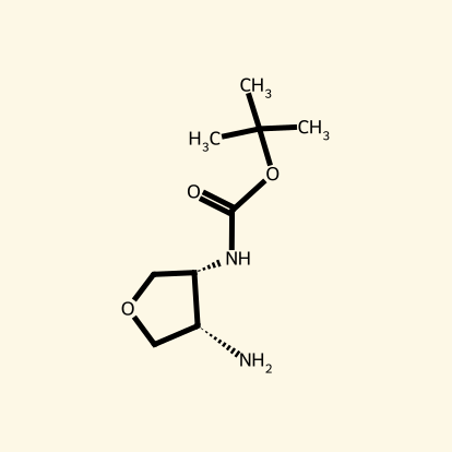 CC(C)(C)OC(=O)N[C@H]1COC[C@H]1N